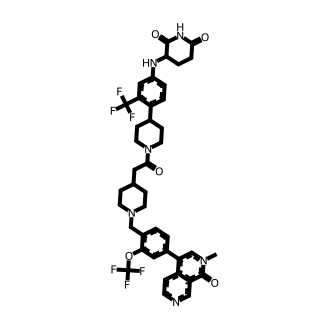 Cn1cc(-c2ccc(CN3CCC(CC(=O)N4CCC(c5ccc(NC6CCC(=O)NC6=O)cc5C(F)(F)F)CC4)CC3)c(OC(F)(F)F)c2)c2ccncc2c1=O